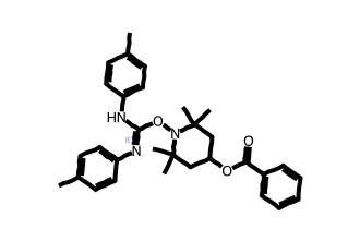 Cc1ccc(/N=C(\Nc2ccc(C)cc2)ON2C(C)(C)CC(OC(=O)c3ccccc3)CC2(C)C)cc1